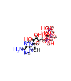 C#C[C@@]1(n2cnc3c(N)ncnc32)O[C@H](COP(=O)(O)OP(=O)(O)OP(=O)(O)O)[C@@H](O)[C@H]1O